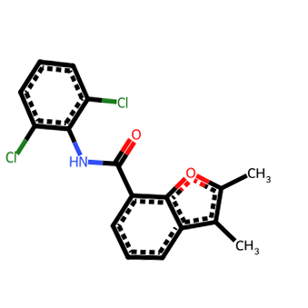 Cc1oc2c(C(=O)Nc3c(Cl)cccc3Cl)cccc2c1C